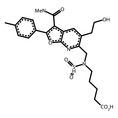 CNC(=O)c1c(-c2ccc(C)cc2)oc2nc(CN(CCCCC(=O)O)[SH](=O)=O)c(CCO)cc12